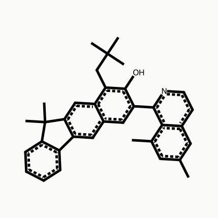 Cc1cc(C)c2c(-c3cc4cc5c(cc4c(CC(C)(C)C)c3O)C(C)(C)c3ccccc3-5)nccc2c1